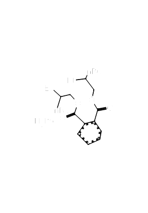 CCCCC(CC)COC(=O)c1ccccc1C(=O)OCC(CC)CCCC.[PbH2]